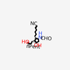 CCCCC[C@H](O)CC[C@H]1[C@H](O)CC(NC=O)[C@@H]1CCCCC=CC#N